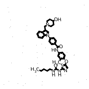 CCCCCNC(=O)Nc1ncc(Oc2ccc(NC(=O)c3ccc(-n4cc(CN5CCC(O)CC5)c5ccccc54)cc3)cc2C)s1